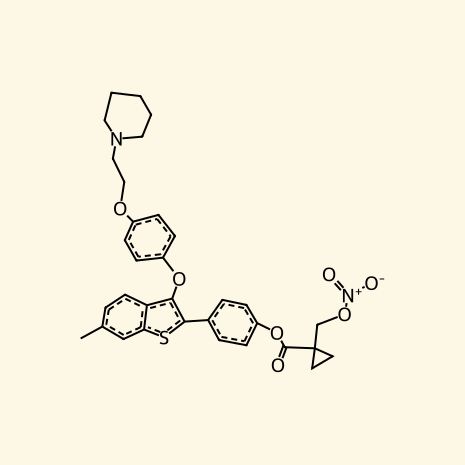 Cc1ccc2c(Oc3ccc(OCCN4CCCCC4)cc3)c(-c3ccc(OC(=O)C4(CO[N+](=O)[O-])CC4)cc3)sc2c1